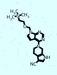 C[Si](C)(C)CCOCn1ccc2c(N3CCc4c(C#N)c[nH]c4C3)ncnc21